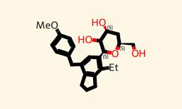 CCc1c([C@@H]2O[C@H](CO)C[C@H](O)C2O)cc(Cc2ccc(OC)cc2)c2c1CCC2